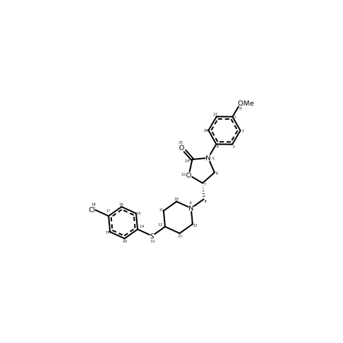 COc1ccc(N2C[C@H](CN3CCC(Sc4ccc(Cl)cc4)CC3)OC2=O)cc1